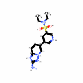 CCN(CC)S(=O)(=O)c1cncc(-c2ccc3nc(N)nn3c2)c1